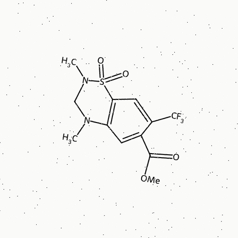 COC(=O)c1cc2c(cc1C(F)(F)F)S(=O)(=O)N(C)CN2C